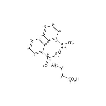 O=C(O)C[CH2][Al+2].O=[PH]([O-])c1ccccc1.O=[PH]([O-])c1ccccc1